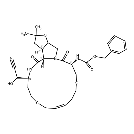 CC1(C)C[C@H]2C(CN3C(=O)[C@@H](NC(=O)OCc4ccccc4)CCCCC=CCCCC[C@@H](C(O)C#N)NC(=O)[C@H]23)O1